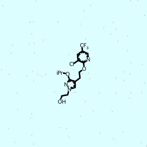 CC(C)Oc1nn(CCO)cc1CCOc1ncc(C(F)(F)F)cc1Cl